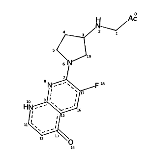 CC(=O)CNC1CCN(c2nc3[nH]ccc(=O)c3cc2F)C1